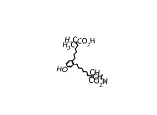 CC(C)(CCCCCCc1cc(O)ccc1CCCCCC(C)(C)C(=O)O)C(=O)O